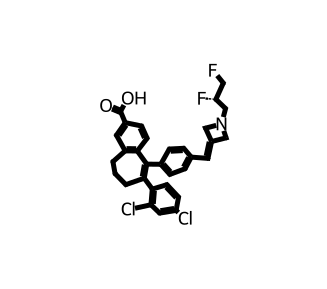 O=C(O)c1ccc2c(c1)CCCC(c1ccc(Cl)cc1Cl)=C2c1ccc(C=C2CN(C[C@H](F)CF)C2)cc1